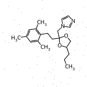 CCCC1COC(CCc2c(C)cc(C)cc2C)(Cn2ccnc2)O1